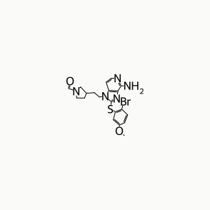 COc1ccc(Br)c(Sc2nc3c(N)nccc3n2CCC2CCN(C=O)C2)c1